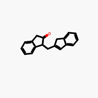 O=C1Cc2ccccc2C1CC1=Cc2ccccc2C1